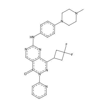 CN1CCN(c2ccc(Nc3ncc4c(=O)n(-c5ccccn5)nc(C5CC(F)(F)C5)c4n3)cc2)CC1